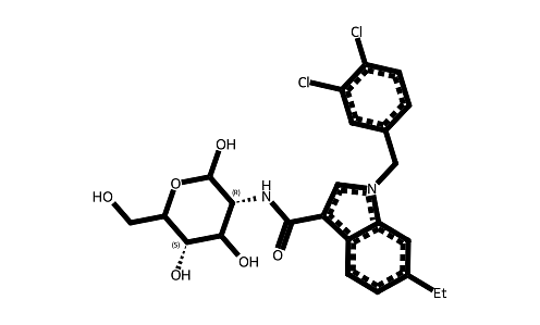 CCc1ccc2c(C(=O)N[C@H]3C(O)OC(CO)[C@@H](O)C3O)cn(Cc3ccc(Cl)c(Cl)c3)c2c1